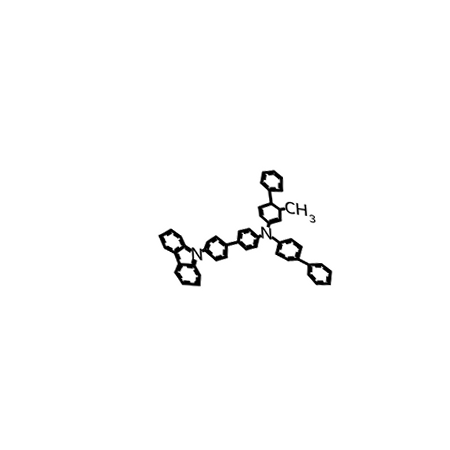 CC1C=C(N(c2ccc(-c3ccccc3)cc2)c2ccc(-c3ccc(-n4c5ccccc5c5ccccc54)cc3)cc2)C=CC1c1ccccc1